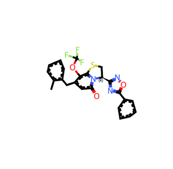 Cc1ccccc1Cc1cc(=O)n2c(c1OC(F)(F)F)SC[C@H]2c1noc(-c2ccccc2)n1